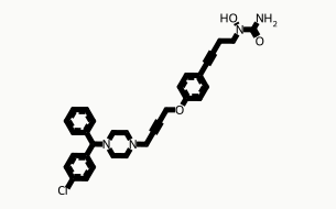 NC(=O)N(O)CCC#Cc1ccc(OCC#CCN2CCN(C(c3ccccc3)c3ccc(Cl)cc3)CC2)cc1